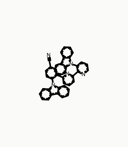 N#Cc1ccc(-n2c3ccccc3c3ccccc32)c(-c2cccc(-c3ncccc3-n3c4ccccc4c4ccccc43)n2)c1